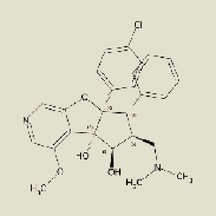 COc1cncc2c1[C@]1(O)[C@H](O)[C@H](CN(C)C)[C@@H](c3ccccc3)[C@]1(c1ccc(Cl)cc1)O2